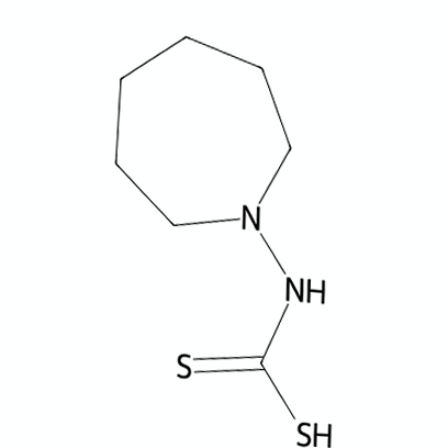 S=C(S)NN1CCCCCC1